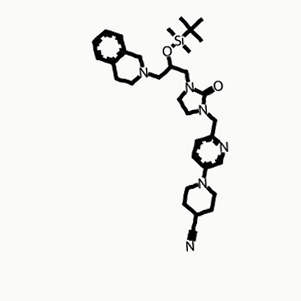 CC(C)(C)[Si](C)(C)OC(CN1CCc2ccccc2C1)CN1CCN(Cc2ccc(N3CCC(C#N)CC3)cn2)C1=O